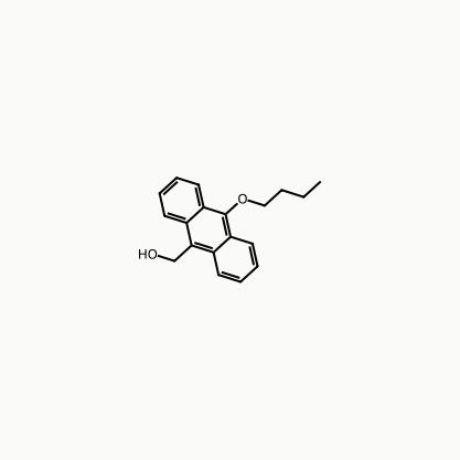 CCCCOc1c2ccccc2c(CO)c2ccccc12